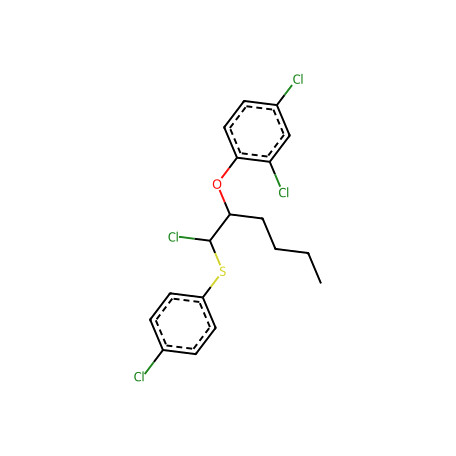 CCCCC(Oc1ccc(Cl)cc1Cl)C(Cl)Sc1ccc(Cl)cc1